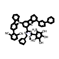 Bc1c(O)c(O)c(O)c(O)c1/C(N=C)=N/C(=N\CC1C=CC=CC1)c1cc(-n2c3ccccc3c3ccc(-c4c(C#N)cccc4C#N)cc32)cc2c1sc1c(-c3cccc(-c4ccccc4)c3)cccc12